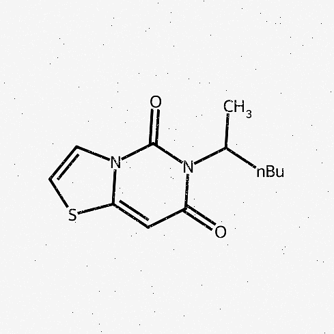 CCCCC(C)n1c(=O)cc2sccn2c1=O